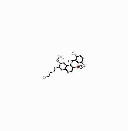 COc1cc2c(Nc3c(Cl)ccc4c3OCO4)c(C#N)cnc2cc1OCCCCl